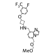 COCOCc1ccc(CNC2CC(Oc3ccc(F)c(C(F)(F)F)c3)C2)c2nccn12